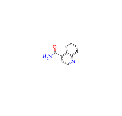 NC(=O)c1c[c]nc2ccccc12